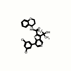 CC(C)(O)c1c(C(=O)N[C@H]2CCOc3ccccc32)sc2c(-c3cc(Cl)cc(Cl)c3)cncc12